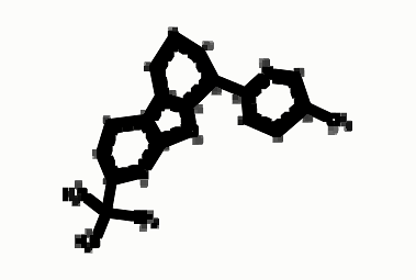 BC(B)(B)c1ccc2c(n1)oc1c(-c3ccc(C)cn3)cccc12